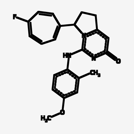 COc1ccc(Nc2nc(=O)cc3n2C(C2=CC=C=C(F)C=C2)CC3)c(C)c1